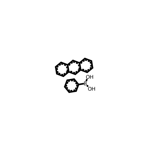 OB(O)c1ccccc1.c1ccc2cc3ccccc3cc2c1